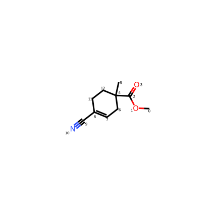 COC(=O)C1(C)CC=C(C#N)CC1